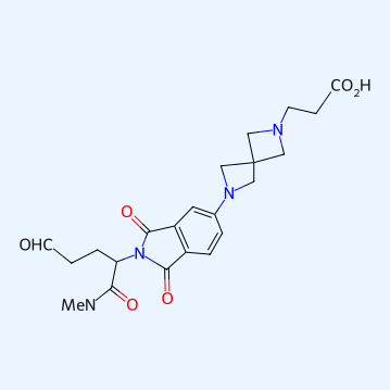 CNC(=O)C(CCC=O)N1C(=O)c2ccc(N3CC4(CN(CCC(=O)O)C4)C3)cc2C1=O